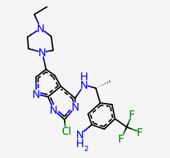 CCN1CCN(c2cnc3nc(Cl)nc(N[C@H](C)c4cc(N)cc(C(F)(F)F)c4)c3c2)CC1